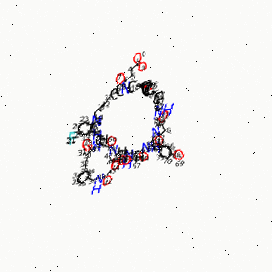 COC(=O)CCC(=O)N1CCC/C=C/Cn2cc(c3cc(F)ccc32)C[C@@H]2NC(=O)[C@@H](C)Cc3cccc(c3)CNC(=O)CO[C@H]3CCN(C2=O)[C@@H]3C(=O)N[C@@H]([C@@H](C)O)C(=O)N[C@@H](Cc2ccc(OC)cc2)C(=O)N2CCC[C@@]2(C)C(=O)NCCc2ccc(cc2)C1